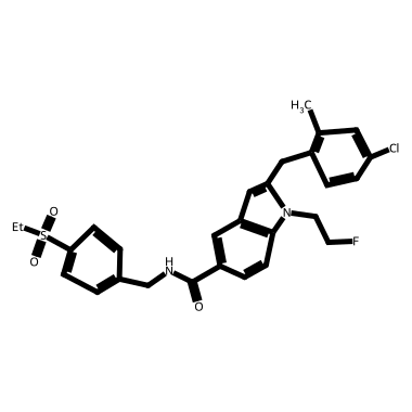 CCS(=O)(=O)c1ccc(CNC(=O)c2ccc3c(c2)cc(Cc2ccc(Cl)cc2C)n3CCF)cc1